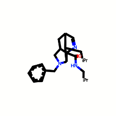 CC(C)CNC(=O)C12N=CC3CC1CN(Cc1ccccc1)C2C3CC(C)C